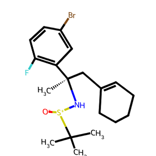 CC(C)(C)[S+]([O-])N[C@](C)(CC1=CCCCC1)c1cc(Br)ccc1F